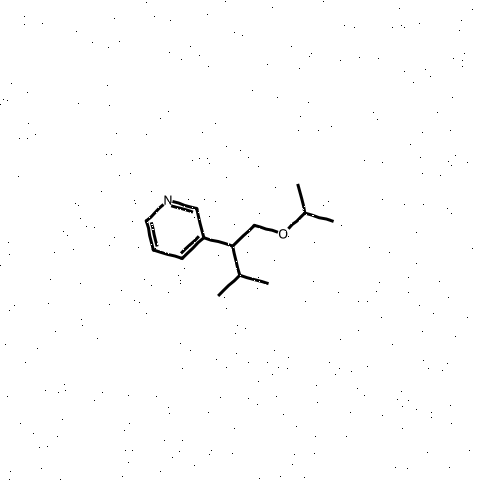 CC(C)OCC(c1cccnc1)C(C)C